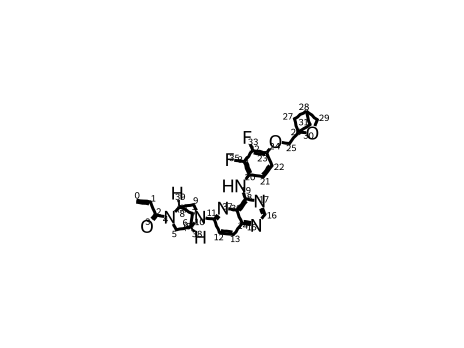 C=CC(=O)N1C[C@@H]2C[C@H]1CN2c1ccc2ncnc(Nc3ccc(OCC45CC(CO4)C5)c(F)c3F)c2n1